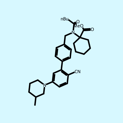 CCCCC(=O)N(Cc1ccc(-c2cc(N3CCCC(C)C3)ccc2C#N)cc1)C1(C(=O)OC)CCCCC1